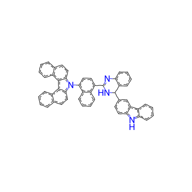 c1ccc2c(c1)N=C(c1ccc(-n3c4ccc5ccccc5c4c4c5ccccc5ccc43)c3ccccc13)NC2c1ccc2[nH]c3ccccc3c2c1